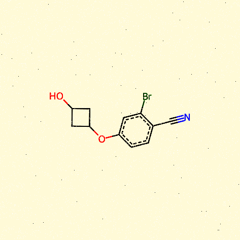 N#Cc1ccc(OC2CC(O)C2)cc1Br